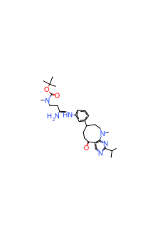 CC(C)c1ncc2c(n1)N(C)CCC(c1cccc(N/C=C(\N)CCN(C)C(=O)OC(C)(C)C)c1)CCC2=O